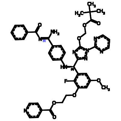 COc1cc(OCCOC(=O)c2ccncc2)c(F)c([C@@H](Nc2ccc(/C(N)=N/C(=O)c3ccccc3)cc2)c2nc(OCOC(=O)C(C)(C)C)n(-c3ncccn3)n2)c1